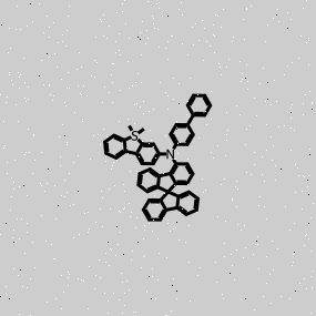 CS1(C)c2ccccc2-c2ccc(N(c3ccc(-c4ccccc4)cc3)c3cccc4c3-c3ccccc3C43c4ccccc4-c4ccccc43)cc21